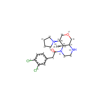 O=C(Cc1ccc(Cl)c(Cl)c1)N1CCNC2COC[C@H](N3CCCC3)[C@H]21